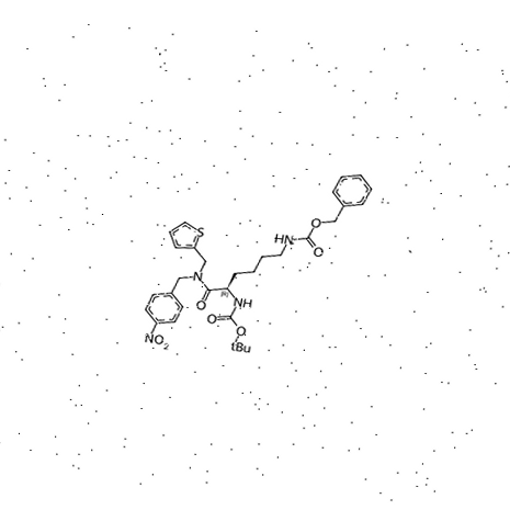 CC(C)(C)OC(=O)N[C@H](CCCCNC(=O)OCc1ccccc1)C(=O)N(Cc1ccc([N+](=O)[O-])cc1)Cc1cccs1